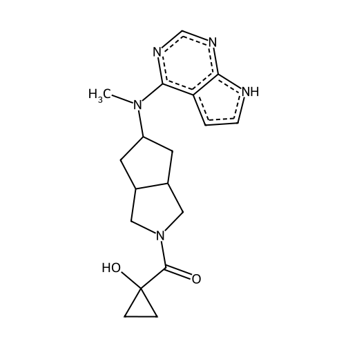 CN(c1ncnc2[nH]ccc12)C1CC2CN(C(=O)C3(O)CC3)CC2C1